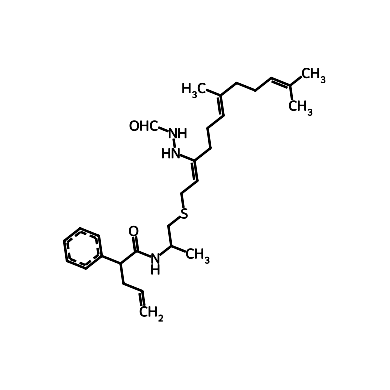 C=CCC(C(=O)NC(C)CSC/C=C(/CC/C=C(\C)CCC=C(C)C)NNC=O)c1ccccc1